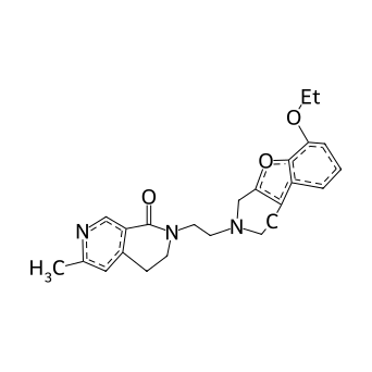 CCOc1cccc2c3c(oc12)CN(CCN1CCc2cc(C)ncc2C1=O)CC3